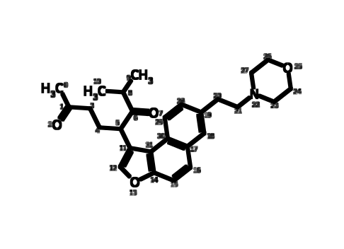 CC(=O)CCC(C(=O)C(C)C)c1coc2ccc3cc(CCN4CCOCC4)ccc3c12